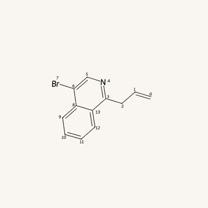 C=CCc1ncc(Br)c2ccccc12